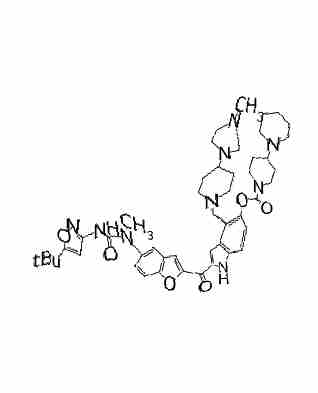 CN1CCN(C2CCN(Cc3c(OC(=O)N4CCC(N5CCCCC5)CC4)ccc4[nH]c(C(=O)c5cc6cc(N(C)C(=O)Nc7cc(C(C)(C)C)on7)ccc6o5)cc34)CC2)CC1